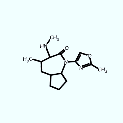 CNC1C(=O)N(c2coc(C)n2)C2CCCC2CC1C